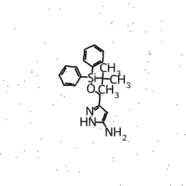 CC(C)(C)[Si](OCc1cc(N)[nH]n1)(c1ccccc1)c1ccccc1